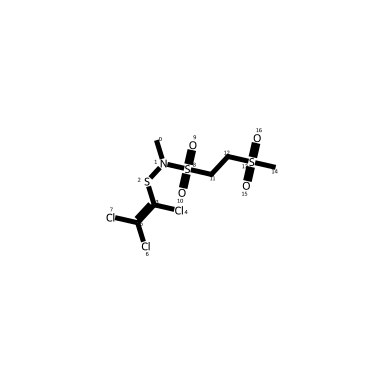 CN(SC(Cl)=C(Cl)Cl)S(=O)(=O)CCS(C)(=O)=O